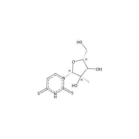 C[C@@]1(O)C(O)[C@@H](CO)O[C@H]1n1ccc(=S)[nH]c1=S